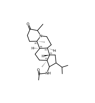 CC(=O)NC1C(C(C)C)C[C@H]2[C@@H]3CCN4C(C)C(=O)CC[C@]4(C)[C@@H]3CC[C@]12C